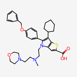 CN(CCN1CCOCC1)CCn1c(-c2ccc(OCc3ccccc3)cc2)c(C2CCCCC2)c2sc(C(=O)O)cc21